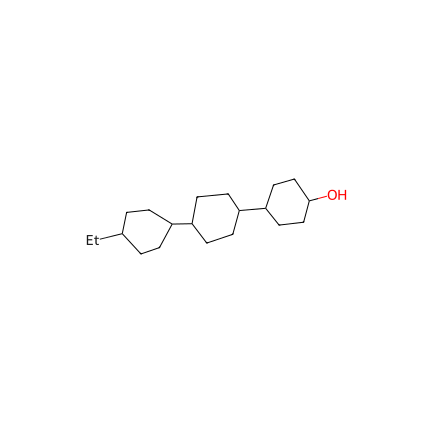 CCC1CCC(C2CCC(C3CCC(O)CC3)CC2)CC1